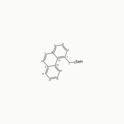 [SeH]Cc1cccc2ccc3ccccc3c12